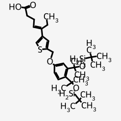 CCC(=CCCC(=O)O)c1csc(COc2ccc(C(C)(C)O[SiH2]C(C)(C)C)c(C(C)(C)O[SiH2]C(C)(C)C)c2)c1